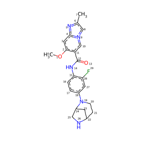 COc1cc2nc(C)cn2cc1C(=O)Nc1ccc(N2CCC3CC2CN3)cc1F